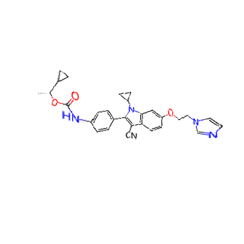 C[C@@H](OC(=O)Nc1ccc(-c2c(C#N)c3ccc(OCCn4ccnc4)cc3n2C2CC2)cc1)C1CC1